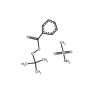 CC(C)(C)OOC(=O)c1ccccc1.CS(N)(=O)=O